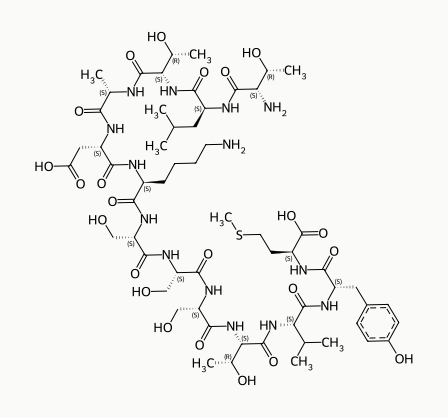 CSCC[C@H](NC(=O)[C@H](Cc1ccc(O)cc1)NC(=O)[C@@H](NC(=O)[C@@H](NC(=O)[C@H](CO)NC(=O)[C@H](CO)NC(=O)[C@H](CO)NC(=O)[C@H](CCCCN)NC(=O)[C@H](CC(=O)O)NC(=O)[C@H](C)NC(=O)[C@@H](NC(=O)[C@H](CC(C)C)NC(=O)[C@@H](N)[C@@H](C)O)[C@@H](C)O)[C@@H](C)O)C(C)C)C(=O)O